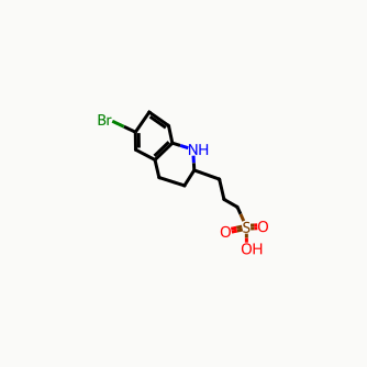 O=S(=O)(O)CCCC1CCc2cc(Br)ccc2N1